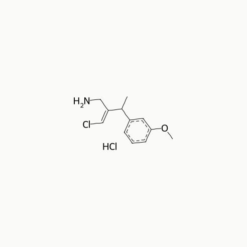 COc1cccc(C(C)C(=CCl)CN)c1.Cl